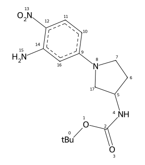 CC(C)(C)OC(=O)NC1CCN(c2ccc([N+](=O)[O-])c(N)c2)C1